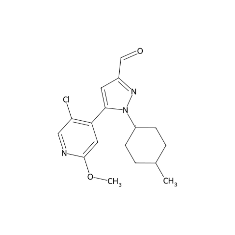 COc1cc(-c2cc(C=O)nn2[C]2CCC(C)CC2)c(Cl)cn1